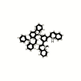 CN1C(c2cc(C3=CC=C4C=CC=CC4N3)cc(-n3c4ccccc4c4ccc5c(c43)C=Cc3ccccc3N5c3ccccc3)c2)=CC=C2CCC=CC21